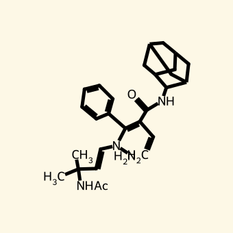 C=C/C(C(=O)NC1C2CC3CC(C2)CC1C3)=C(/c1ccccc1)N(N)/C=C/C(C)(C)NC(C)=O